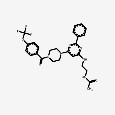 CC(=O)NCCNc1cc(N2CCN(C(=O)c3ccc(OC(F)(F)F)cc3)CC2)nc(-c2ccccc2)n1